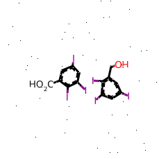 O=C(O)c1cc(I)cc(I)c1I.OCc1cc(I)cc(I)c1I